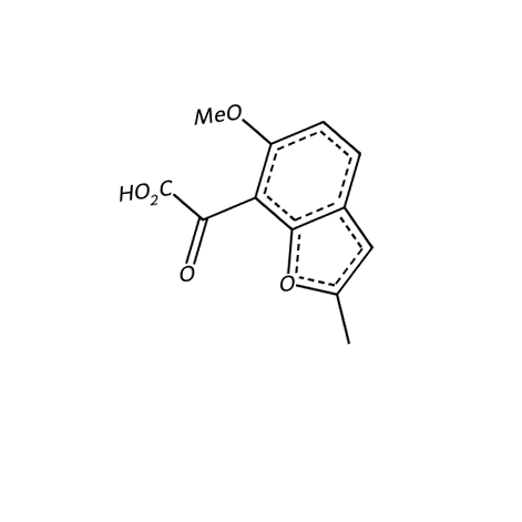 COc1ccc2cc(C)oc2c1C(=O)C(=O)O